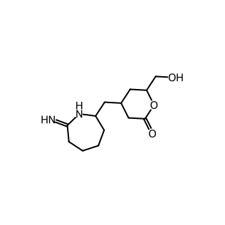 N=C1CCCCC(CC2CC(=O)OC(CO)C2)N1